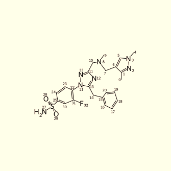 Cc1nn(C)cc1CN(C)Cc1nc(Cc2ccccc2)n(-c2ccc(S(N)(=O)=O)cc2F)n1